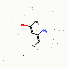 C/C(O)=C\C(N)=C/C#N